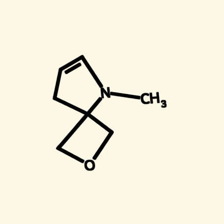 CN1C=CCC12COC2